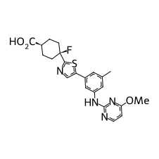 COc1ccnc(Nc2cc(C)cc(-c3cnc([C@]4(F)CC[C@@H](C(=O)O)CC4)s3)c2)n1